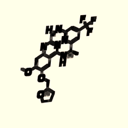 COc1cc2nc(C)nc(N[C@H](C)c3cc(C(F)(F)F)cc(N)n3)c2cc1OC[C@H]1CCCO1